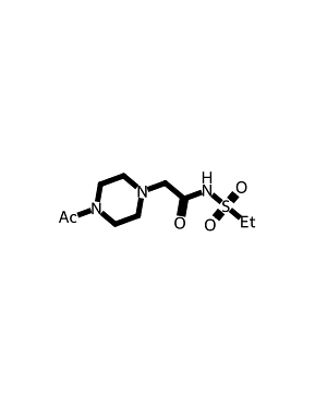 CCS(=O)(=O)NC(=O)CN1CCN(C(C)=O)CC1